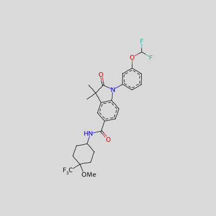 COC1(C(F)(F)F)CCC(NC(=O)c2ccc3c(c2)C(C)(C)C(=O)N3c2cccc(OC(F)F)c2)CC1